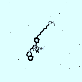 CCCCCCCCCc1ccc(OCC(CN2CCc3ccccc3C2)OS(=O)(=O)O)cc1